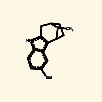 CN1C2CCC1c1c([nH]c3ccc(C(C)(C)C)cc13)C2